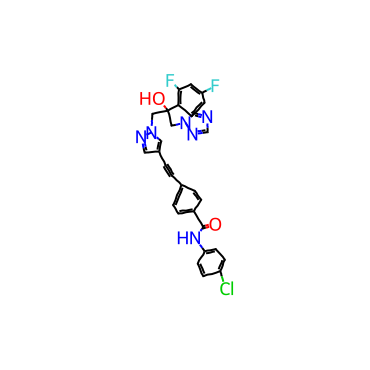 O=C(Nc1ccc(Cl)cc1)c1ccc(C#Cc2cnn(CC(O)(Cn3cncn3)c3ccc(F)cc3F)c2)cc1